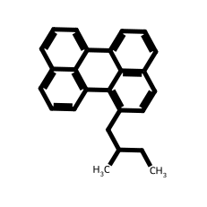 CCC(C)Cc1ccc2cccc3c4cccc5cccc(c1c23)c54